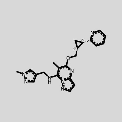 Cc1c(OC[C@H]2C[C@@H]2c2ccccn2)nc2ccnn2c1NCc1cnn(C)c1